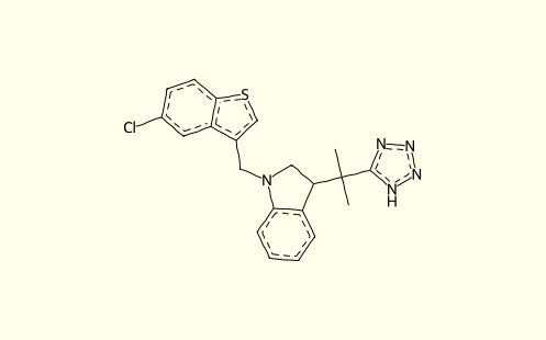 CC(C)(c1nnn[nH]1)C1CN(Cc2csc3ccc(Cl)cc23)c2ccccc21